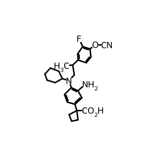 CC(CN(c1ccc(C2(C(=O)O)CCC2)cc1N)C1CCCCC1)c1ccc(OC#N)c(F)c1